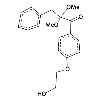 COC(Cc1ccccc1)(OC)C(=O)c1ccc(OCCO)cc1